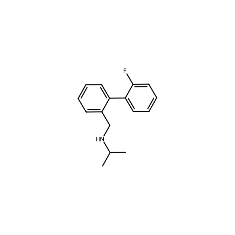 CC(C)NCc1ccccc1-c1ccccc1F